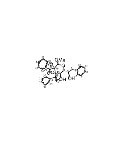 CO[C@H]1O[C@H](C(O)Cc2ccccc2)[C@@H](O)[C@@](O)(C(=O)c2ccccc2)[C@]1(O)C(=O)c1ccccc1